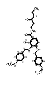 CCOC(=O)CCNC(=O)c1ccc(OCc2ccc(OC)cc2)c(OCc2ccc(OC)cc2)c1Cl